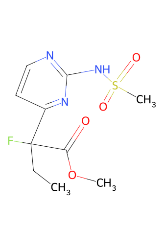 CCC(F)(C(=O)OC)c1ccnc(NS(C)(=O)=O)n1